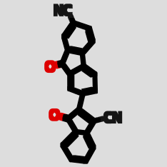 N#CC1=C(c2ccc3c(c2)C(=O)c2cc(C#N)ccc2-3)C(=O)c2ccccc21